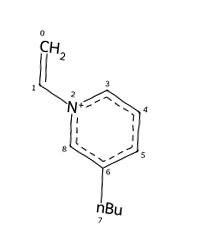 C=C[n+]1cccc(CCCC)c1